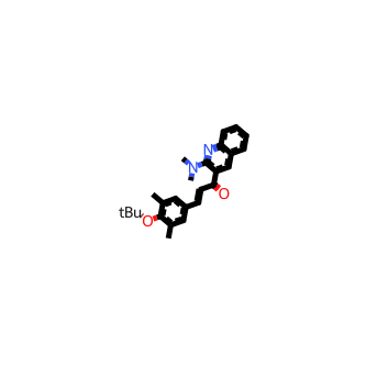 Cc1cc(/C=C/C(=O)c2cc3ccccc3nc2N(C)C)cc(C)c1OC(C)(C)C